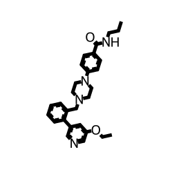 CCCNC(=O)c1ccc(N2CCN(Cc3ccccc3-c3cncc(OCC)c3)CC2)cc1